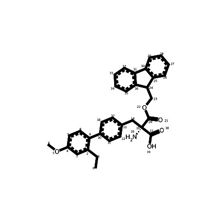 CCc1cc(OC)ccc1-c1ccc(C[C@](N)(C(=O)O)C(=O)OCC2c3ccccc3-c3ccccc32)cc1